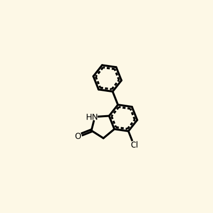 O=C1Cc2c(Cl)ccc(-c3ccccc3)c2N1